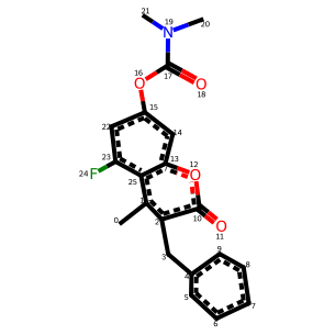 Cc1c(Cc2ccccc2)c(=O)oc2cc(OC(=O)N(C)C)cc(F)c12